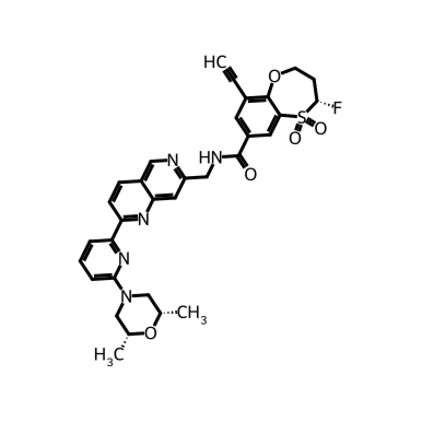 C#Cc1cc(C(=O)NCc2cc3nc(-c4cccc(N5C[C@@H](C)O[C@@H](C)C5)n4)ccc3cn2)cc2c1OCC[C@H](F)S2(=O)=O